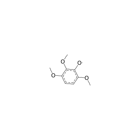 COc1ccc(OC)c(OC)c1[O]